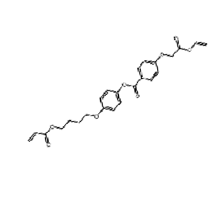 C=COC(=O)COc1ccc(C(=O)Oc2ccc(OCCCCOC(=O)C=C)cc2)cc1